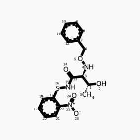 C[C@@H](O)[C@H](NOCc1ccccc1)C(=O)NSc1ccccc1[N+](=O)[O-]